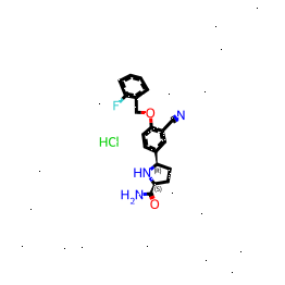 Cl.N#Cc1cc([C@H]2CC[C@@H](C(N)=O)N2)ccc1OCc1ccccc1F